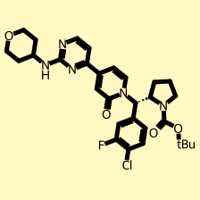 CC(C)(C)OC(=O)N1CCCC1[C@H](c1ccc(Cl)c(F)c1)n1ccc(-c2ccnc(NC3CCOCC3)n2)cc1=O